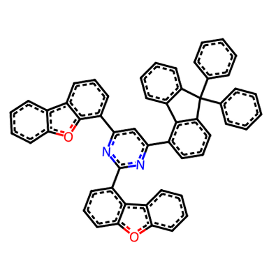 c1ccc(C2(c3ccccc3)c3ccccc3-c3c(-c4cc(-c5cccc6c5oc5ccccc56)nc(-c5cccc6oc7ccccc7c56)n4)cccc32)cc1